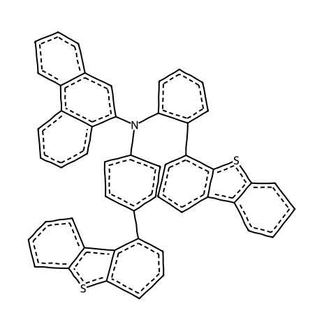 c1ccc(N(c2ccc(-c3cccc4sc5ccccc5c34)cc2)c2cc3ccccc3c3ccccc23)c(-c2cccc3c2sc2ccccc23)c1